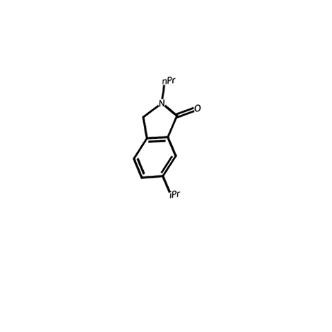 CCCN1Cc2ccc(C(C)C)cc2C1=O